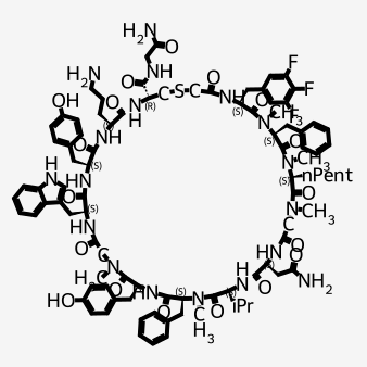 CCCCC[C@H]1C(=O)N(C)CC(=O)N[C@@H](CC(N)=O)C(=O)N[C@@H](C(C)C)C(=O)N(C)[C@@H](Cc2ccccc2)C(=O)N[C@@H](Cc2ccc(O)cc2)C(=O)N(C)CC(=O)N[C@@H](Cc2c[nH]c3ccccc23)C(=O)N[C@@H](Cc2ccc(O)cc2)C(=O)N[C@@H](CCCN)C(=O)N[C@H](C(=O)NCC(N)=O)CSCC(=O)N[C@@H](Cc2cc(F)c(F)c(F)c2)C(=O)N(C)[C@@H](Cc2ccccc2)C(=O)N1C